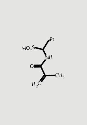 C=C(C)C(=O)NC(C(C)C)S(=O)(=O)O